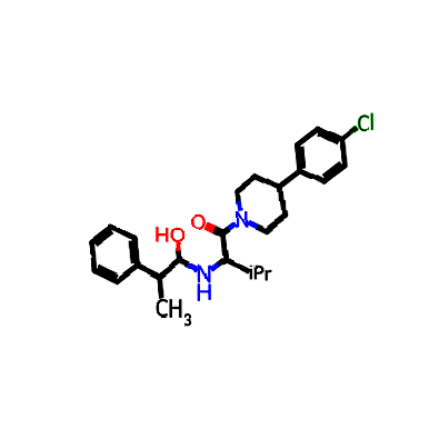 CC(C)C(NC(O)C(C)c1ccccc1)C(=O)N1CCC(c2ccc(Cl)cc2)CC1